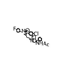 CC(=O)NC1(c2ccccc2)CCN(CCCC2CC2(C(=O)N(C)Cc2ccc(F)cc2)c2ccc(Cl)c(Cl)c2)CC1